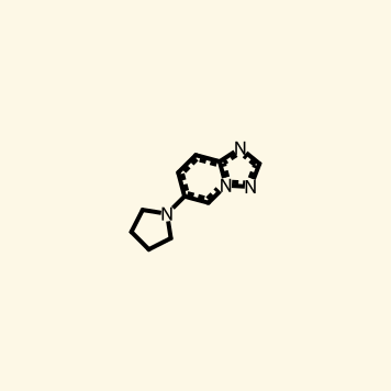 c1nc2ccc(N3CCCC3)cn2n1